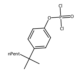 CCCCCC(C)(C)c1ccc(OP(=O)(Cl)Cl)cc1